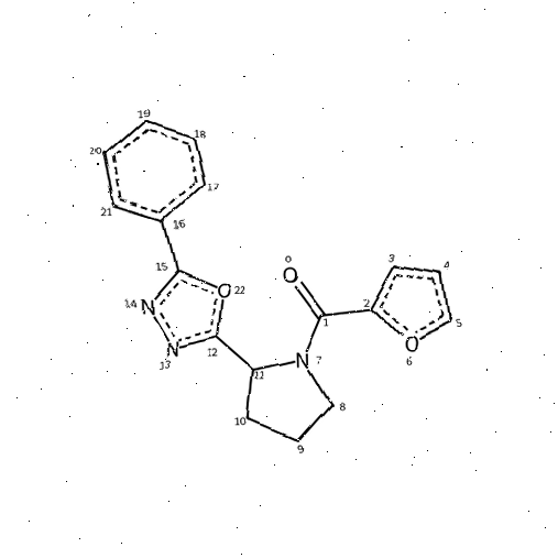 O=C(c1ccco1)N1CCCC1c1nnc(-c2ccccc2)o1